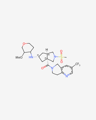 COC1COCCC1N[C@@H]1C[C@H]2CN(S(C)(=O)=O)C[C@@]2(C(=O)N2CCc3ncc(C(F)(F)F)cc3C2)C1